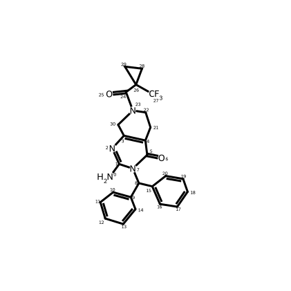 Nc1nc2c(c(=O)n1C(c1ccccc1)c1ccccc1)CCN(C(=O)C1(C(F)(F)F)CC1)C2